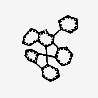 c1ccc(-c2nc3ccccc3c3c2-c2ccccc2C32c3ccccc3-c3ccccc32)cc1